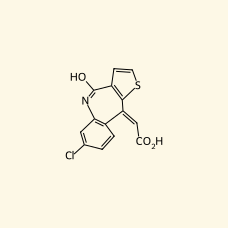 O=C(O)C=C1c2ccc(Cl)cc2N=C(O)c2ccsc21